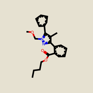 CCCCOC(=O)c1ccccc1-c1nn(COC)c(-c2ccccc2)c1C